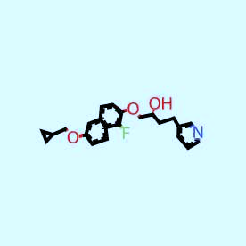 O[C@H](CCc1cccnc1)COc1ccc2cc(OCC3CC3)ccc2c1F